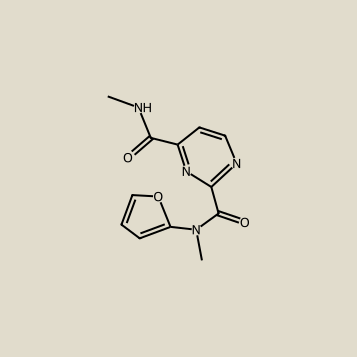 CNC(=O)c1ccnc(C(=O)N(C)c2ccco2)n1